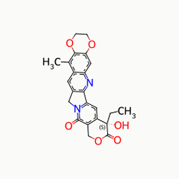 CC[C@@]1(O)C(=O)OCc2c1cc1n(c2=O)Cc2cc3c(C)c4c(cc3nc2-1)OCCO4